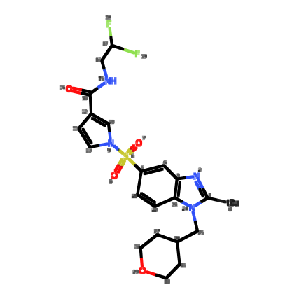 CC(C)(C)c1nc2cc(S(=O)(=O)n3ccc(C(=O)NCC(F)F)c3)ccc2n1CC1CCOCC1